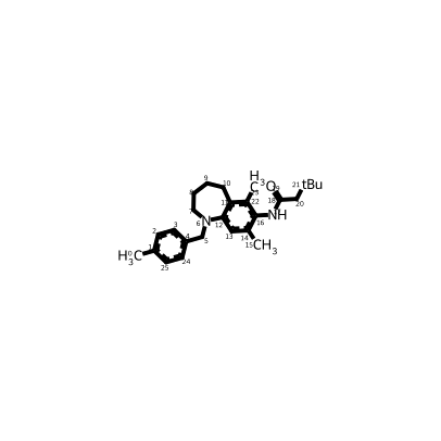 Cc1ccc(CN2CCCCc3c2cc(C)c(NC(=O)CC(C)(C)C)c3C)cc1